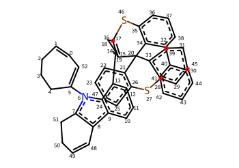 C1=CCCCC(n2c3c(c4cccc(C5=CCCC6=C5C5(c7ccccc7Sc7ccccc75)c5c(cccc5-c5ccccc5)S6)c42)C=CCC3)=C1